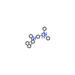 c1ccc(-c2cc(-c3ccc(-n4c5ccccc5c5c6c(ccc54)-c4cccc5cccc-6c45)cc3)nc(-c3ccccc3)n2)cc1